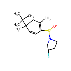 CC1=C([S+]([O-])N2CCC(F)C2)C=CC(C)(C(C)(C)C)C1